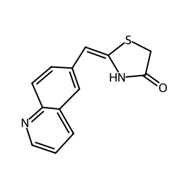 O=C1CSC(=Cc2ccc3ncccc3c2)N1